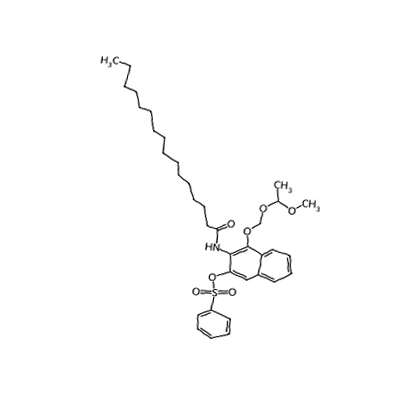 CCCCCCCCCCCCCCCC(=O)Nc1c(OS(=O)(=O)c2ccccc2)cc2ccccc2c1OCOC(C)OC